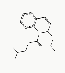 CCOC1C=Cc2ccccc2N1C(=O)OCC(C)C